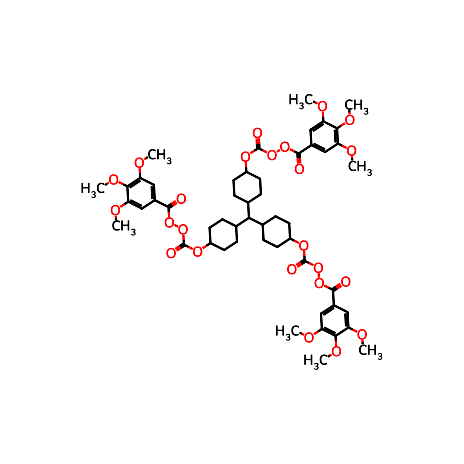 COc1cc(C(=O)OOC(=O)OC2CCC(C(C3CCC(OC(=O)OOC(=O)c4cc(OC)c(OC)c(OC)c4)CC3)C3CCC(OC(=O)OOC(=O)c4cc(OC)c(OC)c(OC)c4)CC3)CC2)cc(OC)c1OC